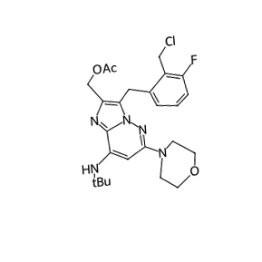 CC(=O)OCc1nc2c(NC(C)(C)C)cc(N3CCOCC3)nn2c1Cc1cccc(F)c1CCl